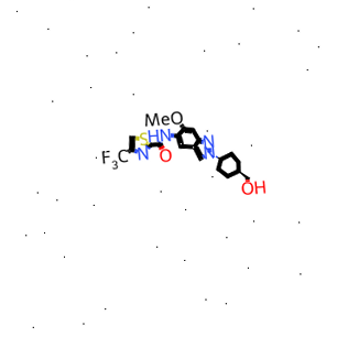 COc1cc2nn([C@H]3CC[C@H](CO)CC3)cc2cc1NC(=O)c1nc(C(F)(F)F)cs1